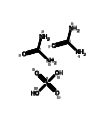 NC(N)=O.NC(N)=O.O=S(=O)(O)O